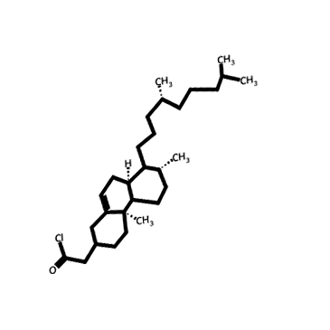 CC(C)CCC[C@@H](C)CCCC1[C@@H]2CC=C3CC(CC(=O)Cl)CC[C@]3(C)C2CC[C@H]1C